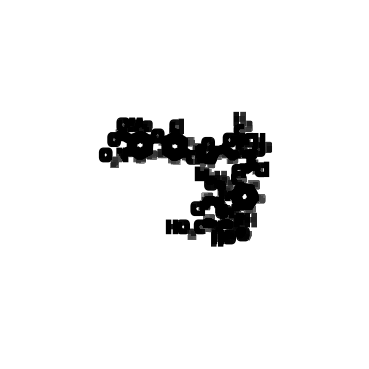 CC1(C)OC(c2ccco2)CN1C(=O)C(Cl)Cl.CCOCN(C(=O)CCl)c1c(C)cccc1CC.COC(=O)c1cc(Oc2ccc(Cl)cc2Cl)ccc1[N+](=O)[O-].O=C(O)CNCP(=O)(O)O